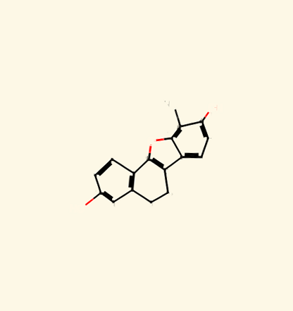 N#Cc1c(O)ccc2c3c(oc12)-c1ccc(O)cc1CC3